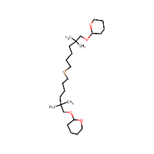 CC(C)(CCCCSCCCCC(C)(C)COC1CCCCO1)COC1CCCCO1